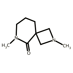 CN1CC2(CCCN(C)C2=O)C1